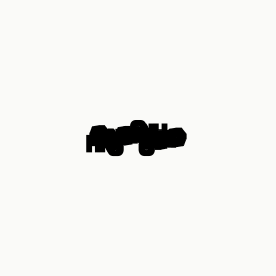 NC(CC(=O)N1CCC(N2Cc3ccccc3NC2=O)CC1)C(=O)N1CCC(N2CCCCC2)CC1